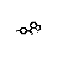 O=C(c1ccc(F)cc1)c1cccc2cc[nH]c12